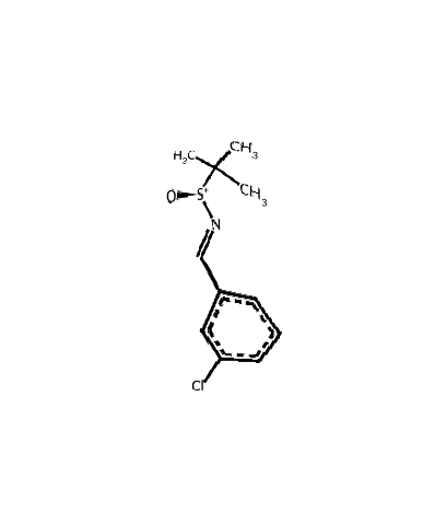 CC(C)(C)[S@+]([O-])N=Cc1cccc(Cl)c1